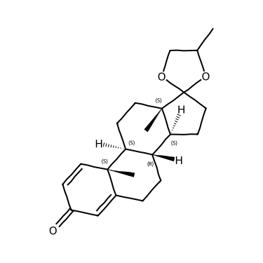 CC1COC2(CC[C@H]3[C@@H]4CCC5=CC(=O)C=C[C@]5(C)[C@H]4CC[C@@]32C)O1